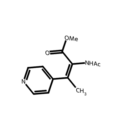 COC(=O)C(NC(C)=O)=C(C)c1ccncc1